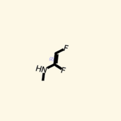 CN/C(F)=C/F